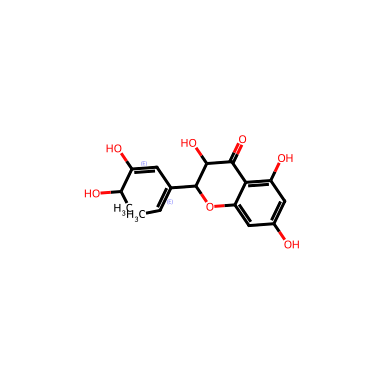 C/C=C(\C=C(\O)C(C)O)C1Oc2cc(O)cc(O)c2C(=O)C1O